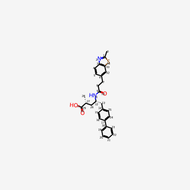 Cc1nc2ccc(CCC(=O)N[C@H](Cc3ccc(-c4ccccc4)cc3)C[C@@H](C)C(=O)O)cc2s1